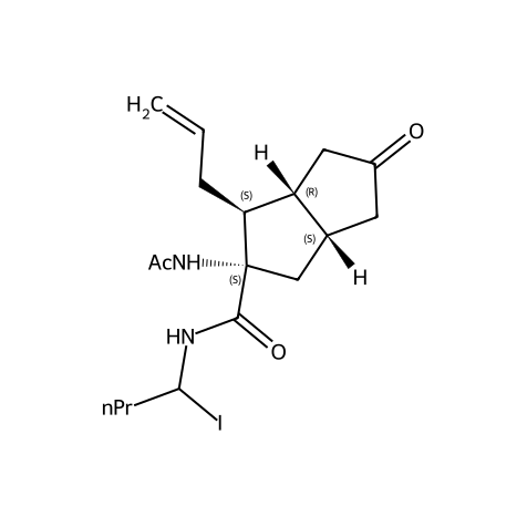 C=CC[C@H]1[C@@H]2CC(=O)C[C@@H]2C[C@@]1(NC(C)=O)C(=O)NC(I)CCC